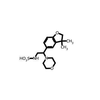 CC1(C)COc2ccc(C(CNS(=O)(=O)O)N3CCOCC3)cc21